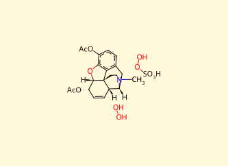 CC(=O)Oc1ccc2c3c1O[C@H]1[C@@H](OC(C)=O)C=C[C@H]4[C@@H](C2)N(C)CC[C@@]341.O=S(=O)(O)OO.OO